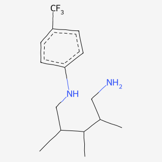 CC(CN)C(C)C(C)CNc1ccc(C(F)(F)F)cc1